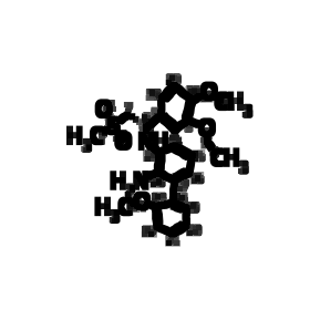 CCOc1cc([C@@H](CS(C)(=O)=O)Nc2cccc(-c3ccccc3OC)c2N)ccc1OC